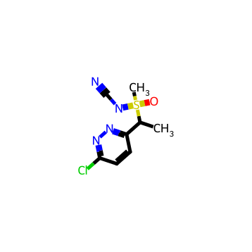 CC(c1ccc(Cl)nn1)S(C)(=O)=NC#N